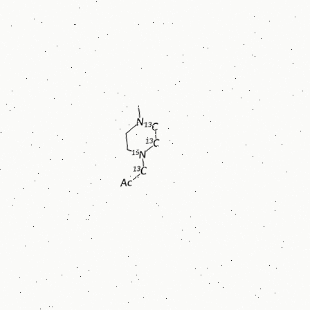 CC(=O)[13CH2][15N]1CCN(C)[13CH2][13CH2]1